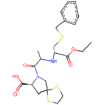 CCOC(=O)[C@@H](CSCc1ccccc1)NC(C)C(=O)N1CC2(C[C@H]1C(=O)O)SCCS2